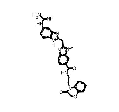 Cn1c(Cc2nc3cc(NC(=N)N)ccc3[nH]2)nc2ccc(C(=O)NCCN3C(=O)COc4ccccc43)cc21